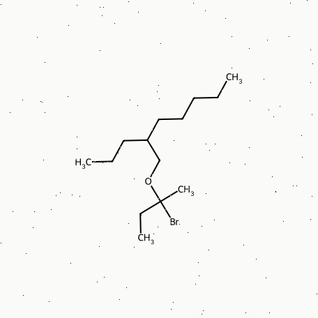 CCCCCC(CCC)COC(C)(Br)CC